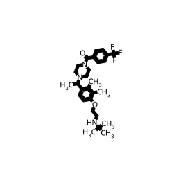 Cc1c(OCCNC(C)(C)C)ccc(C(C)N2CCN(C(=O)c3ccc(C(F)(F)F)cc3)CC2)c1C